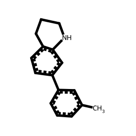 Cc1cccc(-c2ccc3c(c2)NCCC3)c1